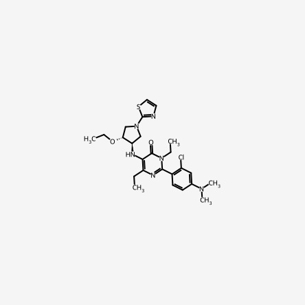 CCO[C@@H]1CN(c2nccs2)C[C@H]1Nc1c(CC)nc(-c2ccc(N(C)C)cc2Cl)n(CC)c1=O